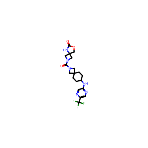 O=C1NC2(CO1)CN(C(=O)N1CC3(CCC(Nc4cnc(C(F)(F)F)cn4)CC3)C1)C2